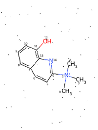 C[N+](C)(C)c1ccc2cccc(O)c2n1